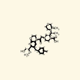 CO[C@H](CO)c1nc2c(cc1Cc1ccc(F)cc1)N(C(=O)CN1CCN(C(=O)O)[C@H]([C@H](C)N3CCOC[C@H]3C)C1)CCO2